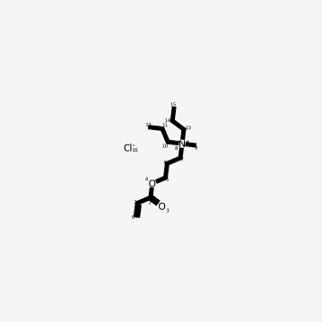 C=CC(=O)OCCC[N+](C)(CCC)CCC.[Cl-]